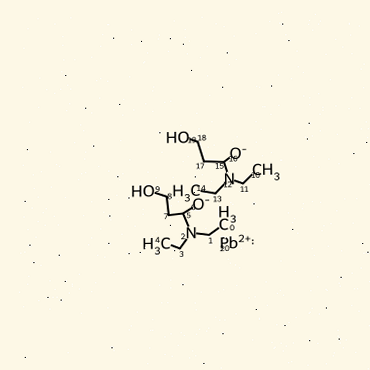 CCN(CC)C([O-])CCO.CCN(CC)C([O-])CCO.[Pb+2]